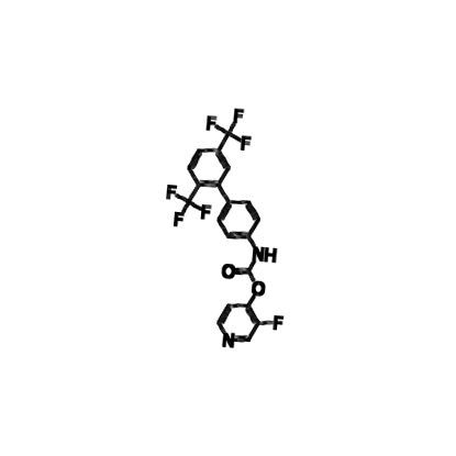 O=C(Nc1ccc(-c2cc(C(F)(F)F)ccc2C(F)(F)F)cc1)Oc1ccncc1F